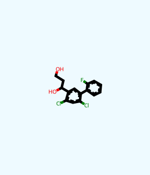 OCCC(O)c1cc(-c2ccccc2F)c(Cl)cc1Cl